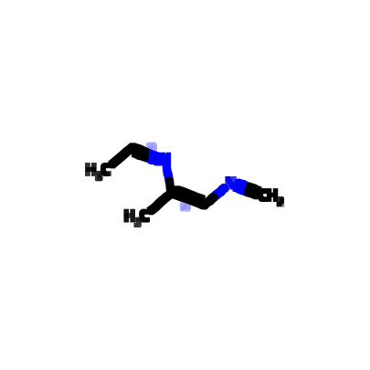 C=N/C=C(C)\N=C/C